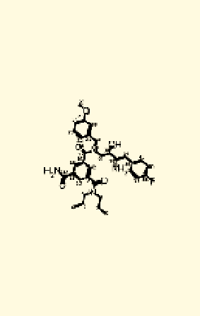 CCCN(CCC)C(=O)c1cc(C(N)=O)cc(C(=O)N(Cc2cccc(OC)c2)C[C@@H](O)[C@@H](N)Cc2ccc(F)cc2)c1